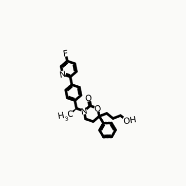 C[C@@H](c1ccc(-c2ccc(F)cn2)cc1)N1CCC(CCCO)(c2ccccc2)OC1=O